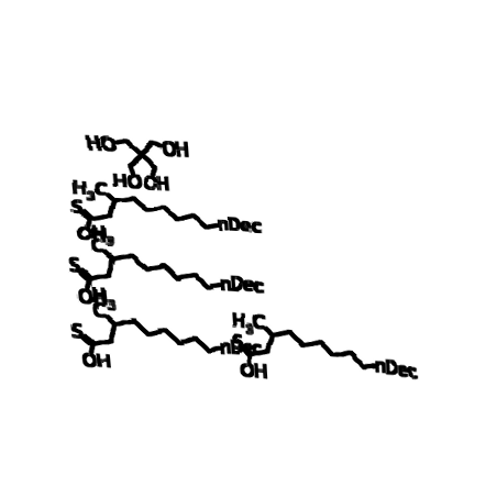 CCCCCCCCCCCCCCCCC(C)CC(O)=S.CCCCCCCCCCCCCCCCC(C)CC(O)=S.CCCCCCCCCCCCCCCCC(C)CC(O)=S.CCCCCCCCCCCCCCCCC(C)CC(O)=S.OCC(CO)(CO)CO